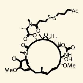 COc1cc2cc(c1Cl)N(C)C(=O)C[C@H](OC(=O)[C@H](C)N(C)C(=O)CCSSCCCC(C)=O)[C@]1(C)O[C@H]1[C@H](C)[C@@H]1C[C@@](O)(NC(=O)O1)[C@H](OC)/C=C/C=C(\C)C2